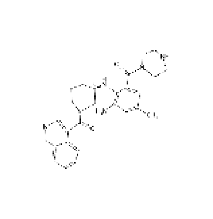 Cc1cc(N)c(N[C@@H]2CCCN(C(=O)c3cncc4ccccc34)C2)c(C(=O)N2CCNCC2)c1